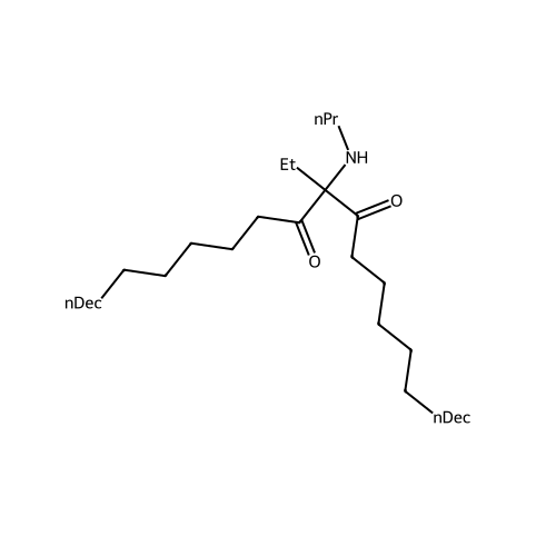 CCCCCCCCCCCCCCCC(=O)C(CC)(NCCC)C(=O)CCCCCCCCCCCCCCC